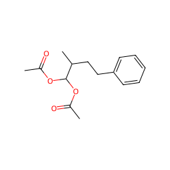 CC(=O)OC(OC(C)=O)C(C)CCc1ccccc1